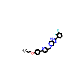 CCCOc1ccc(-c2ccc(CN3Cc4nc(-c5cccc(F)c5F)[nH]c4C=N3)cn2)cc1